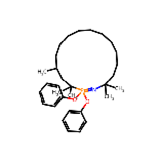 CC1CCCCCCCCCCC(C)(C)N=P(Oc2ccccc2)(Oc2ccccc2)C(C)(C)C1